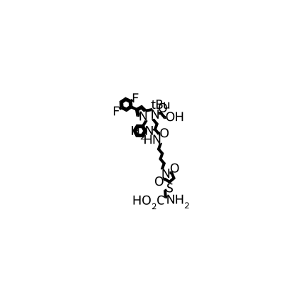 CC(C)(C)[C@H](c1cc(-c2cc(F)ccc2F)cn1Cc1ccccc1)N(CC[C@H](N)C(=O)NCCCCCCN1C(=O)CC(SC[C@H](N)C(=O)O)C1=O)C(=O)CO